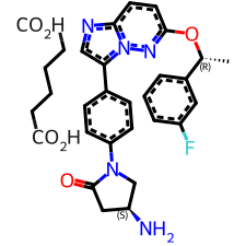 C[C@@H](Oc1ccc2ncc(-c3ccc(N4C[C@@H](N)CC4=O)cc3)n2n1)c1cccc(F)c1.O=C(O)CCCCC(=O)O